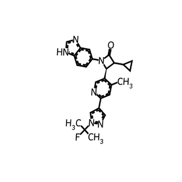 Cc1cc(-c2cnn(C(C)(C)F)c2)ncc1[C@@H]1C(C2CC2)C(=O)N1c1ccc2[nH]cnc2c1